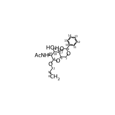 C=CCO[C@@H]1OC2COC(c3ccccc3)O[C@H]2C(O)[C@@H]1NC(C)=O